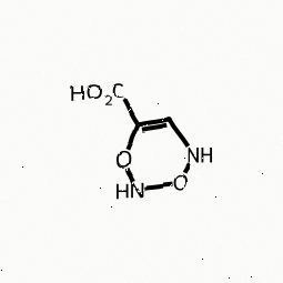 O=C(O)c1c[nH]o[nH]o1